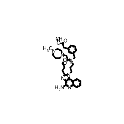 CCCCc1nc2c(N)nc3ccccc3c2n1CCCN(Cc1cccc(CC(=O)OC)c1)C(=O)CN1CCCN(C)CC1